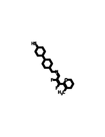 CC1=C(/C(F)=C(F)\C=N/CC2CCC(C3CCC(S)CC3)CC2)OCCC1